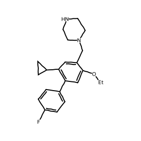 CCOc1cc(-c2ccc(F)cc2)c(C2CC2)cc1CN1CCNCC1